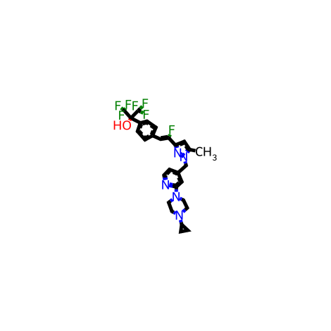 Cc1cc(/C(F)=C/c2ccc(C(O)(C(F)(F)F)C(F)(F)F)cc2)nn1Cc1ccnc(N2CCN(C3CC3)CC2)c1